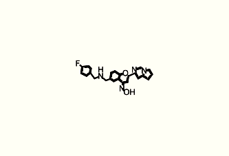 ON=c1cc(-c2cc3cccn3cn2)oc2ccc(CNCc3ccc(F)cc3)cc12